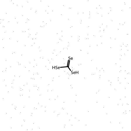 [Se]=C([SeH])[SeH]